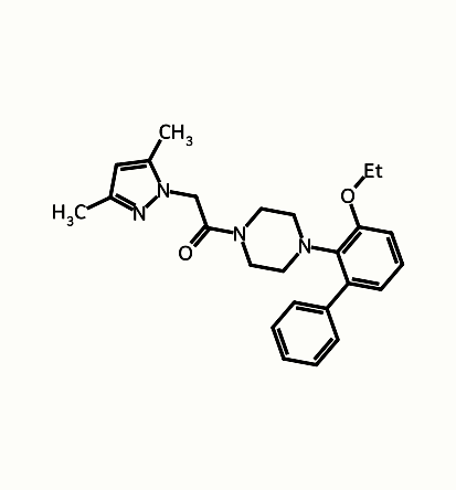 CCOc1cccc(-c2ccccc2)c1N1CCN(C(=O)Cn2nc(C)cc2C)CC1